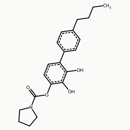 CCCCc1ccc(-c2ccc(OC(=O)N3CCCC3)c(O)c2O)cc1